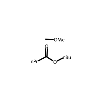 CCCCOC(=O)CCC.COC